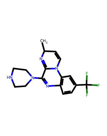 CC1C=CN2C(=N1)C(N1CCNCC1)=Nc1ccc(C(F)(F)F)cc12